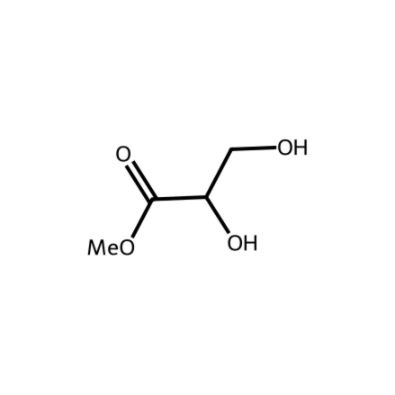 [CH2]OC(=O)C(O)CO